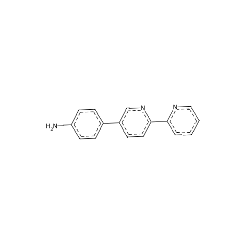 Nc1ccc(-c2ccc(-c3ccccn3)nc2)cc1